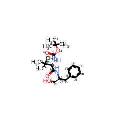 CC(C)(C)OC(=O)N[C@H](C(=O)N[C@H](CO)Cc1ccccc1)C(C)(C)C